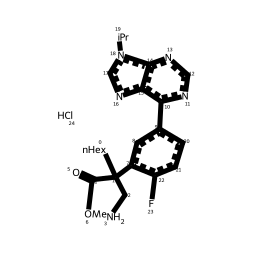 CCCCCCC(CN)(C(=O)OC)c1cc(-c2ncnc3c2ncn3C(C)C)ccc1F.Cl